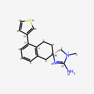 CN1C[C@]2(CCc3c(cccc3-c3ccsc3)C2)N=C1N